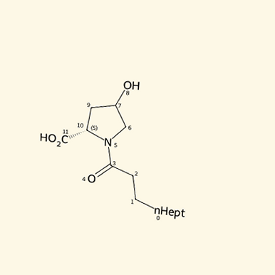 CCCCCCCCCC(=O)N1CC(O)C[C@H]1C(=O)O